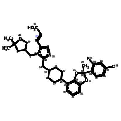 CC1(C)CC(Cn2c(/C=C/C(=O)O)cnc2CN2CCC(c3cccc4c3O[C@@](C)(c3ccc(Cl)cc3F)O4)CC2)CO1